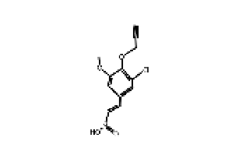 C#CCOc1c(Cl)cc(/C=C/[N+](=O)O)cc1OC